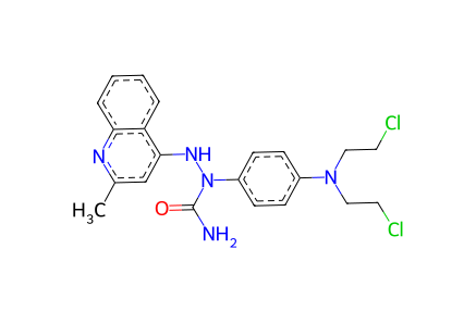 Cc1cc(NN(C(N)=O)c2ccc(N(CCCl)CCCl)cc2)c2ccccc2n1